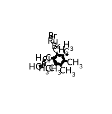 CP(C)O.Cc1c(C)c(C)c(C)c(C)c1C.[Br][Ru][Br]